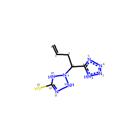 C=CCC(c1nnn[nH]1)N1NN=C(S)N1